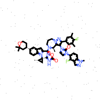 Cc1cc(-c2nn3c(c2-n2ccn(-c4ccc5c(cnn5C)c4F)c2=O)[C@@H](C)N(C(=O)c2cc4cc([C@H]5CCOC(C)(C)C5)ccc4n2[C@@]2(c4noc(=O)[nH]4)C[C@@H]2C)CCC3)cc(C)c1F